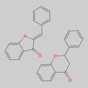 O=C1/C(=C/c2ccccc2)Oc2ccccc21.O=C1CC(c2ccccc2)Oc2ccccc21